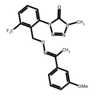 COc1cccc(C(C)=NOCc2c(-n3nnn(C)c3=O)cccc2C(F)(F)F)c1